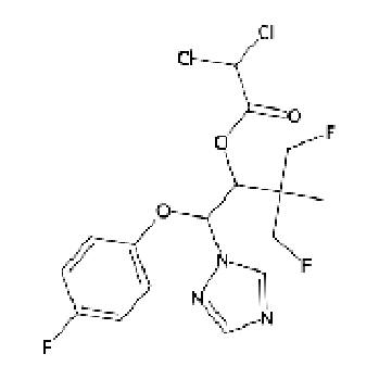 CC(CF)(CF)C(OC(=O)C(Cl)Cl)C(Oc1ccc(F)cc1)n1cncn1